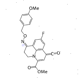 COC(=O)C1=CC(=C=O)c2cc(F)cc3c2N1CC/C3=N/OCc1ccc(OC)cc1